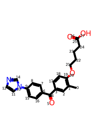 Cc1cc(C(=O)c2ccc(-n3ccnc3)cc2)ccc1OCCCCC(=O)O